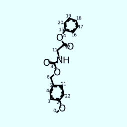 COc1ccc(COC(=O)NCC(=O)Oc2ccccc2)cc1